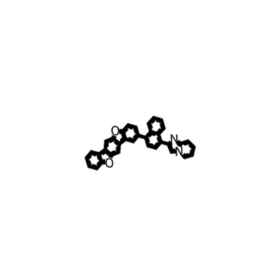 c1ccc2c(c1)oc1cc3c(cc12)oc1ccc(-c2ccc(-c4cn5ccccc5n4)c4ccccc24)cc13